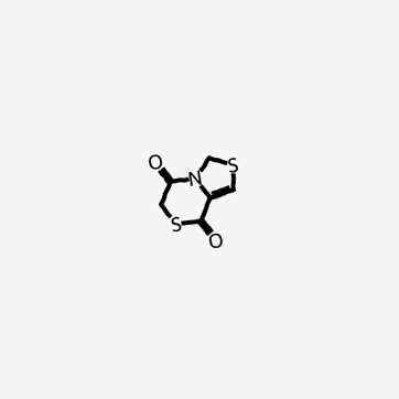 O=C1SCC(=O)N2CSC=C12